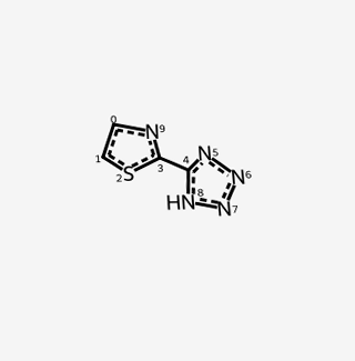 c1csc(-c2nnn[nH]2)n1